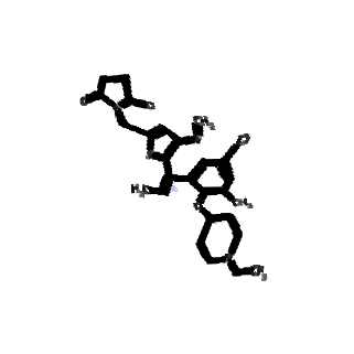 C=Nc1cc(CN2C(=O)CCC2=O)sc1/C(=C\C)c1cc(Cl)cc(C)c1OC1CCN(CC(F)(F)F)CC1